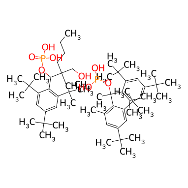 CCCCC(CC)(CO)C(OP(=O)(O)O)c1c(C(C)(C)C)cc(C(C)(C)C)cc1C(C)(C)C.Cc1cc(C(C)(C)C)cc(C(C)(C)C)c1C(C)(OP(O)O)c1c(C)cc(C(C)(C)C)cc1C(C)(C)C